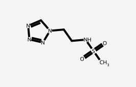 CS(=O)(=O)NCCn1cnnn1